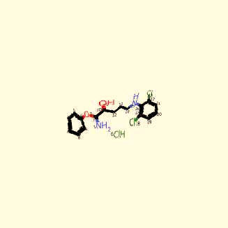 Cl.NC(Oc1ccccc1)C(O)CCCNc1c(Cl)cccc1Cl